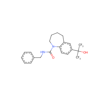 O=C(NCc1ccccc1)N1CCCCc2cc(C(O)(C(F)(F)F)C(F)(F)F)ccc21